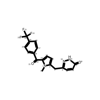 Cn1c(Cc2ccc(=O)[nH]n2)ccc1C(=O)c1ccc(C(F)(F)F)cc1